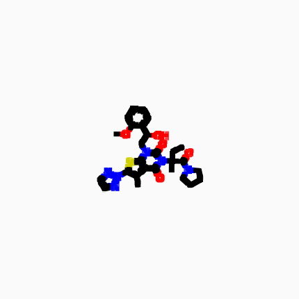 CCC(C)(C(=O)N1CCCC1)n1c(=O)c2c(C)c(-n3nccn3)sc2n(C[C@H](O)c2ccccc2OC)c1=O